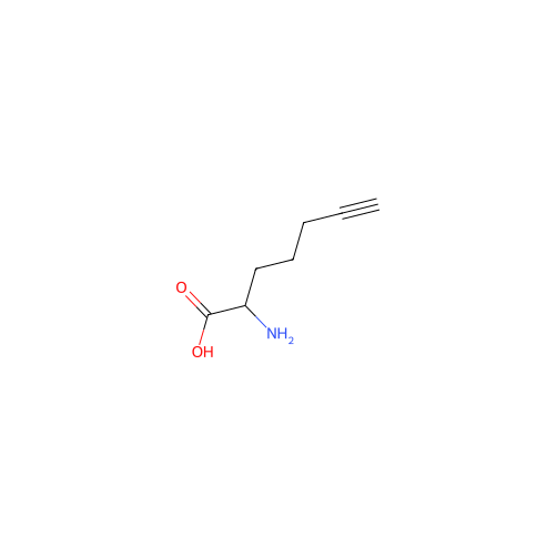 C#CCCCC(N)C(=O)O